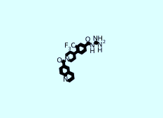 N=C(N)NC(=O)c1ccc(C2CCN(C(=O)c3ccc4ncccc4c3)CC2)c(C(F)(F)F)c1